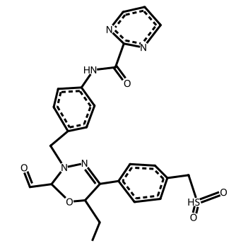 CCC1OC(C=O)N(Cc2ccc(NC(=O)c3ncccn3)cc2)N=C1c1ccc(C[SH](=O)=O)cc1